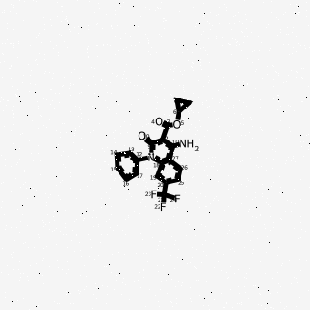 Nc1c(C(=O)OC2CC2)c(=O)n(-c2ccccc2)c2cc(C(F)(F)F)ccc12